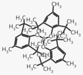 Cc1cc(C(C)(C)C)c(OB(Oc2c(C(C)(C)C)cc(C)cc2C(C)(C)C)Oc2c(C(C)(C)C)cc(C)cc2C(C)(C)C)c(C(C)(C)C)c1